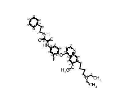 CCN(CC)CCCCc1cc2nccc(Oc3ccc(NC(=O)C(=O)NCCc4ccccc4)cc3F)c2cc1OC